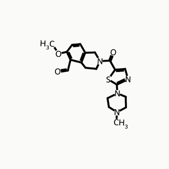 COc1ccc2c(c1C=O)CCN(C(=O)c1cnc(N3CCN(C)CC3)s1)C2